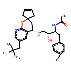 CC(=O)N[C@@H](Cc1ccc(F)cc1)[C@H](O)CN[C@H]1CC2(CC=CC2)Oc2ncc(CC(C)(C)C)cc21